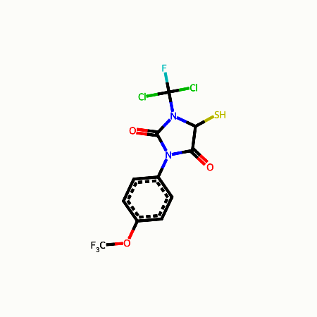 O=C1C(S)N(C(F)(Cl)Cl)C(=O)N1c1ccc(OC(F)(F)F)cc1